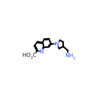 NCC1CCN(c2ccc3ccc(C(=O)O)nc3c2)C1